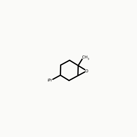 [CH2]C(C)C1CCC2(C)OC2C1